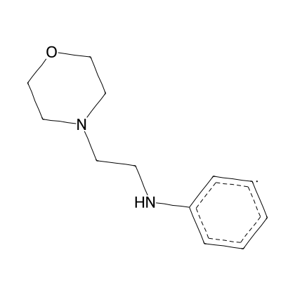 [c]1cccc(NCCN2CCOCC2)c1